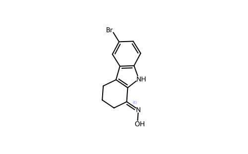 O/N=C1\CCCc2c1[nH]c1ccc(Br)cc21